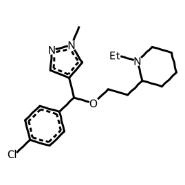 CCN1CCCCC1CCOC(c1ccc(Cl)cc1)c1cnn(C)c1